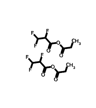 CCC(=O)OC(=O)C(F)C(F)F.CCC(=O)OC(=O)C(F)C(F)F